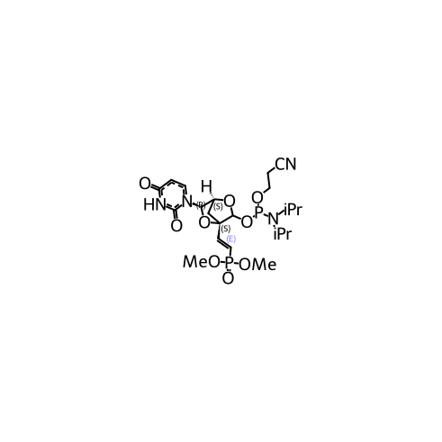 COP(=O)(/C=C/[C@@]12C[C@H](OC1OP(OCCC#N)N(C(C)C)C(C)C)[C@H](n1ccc(=O)[nH]c1=O)O2)OC